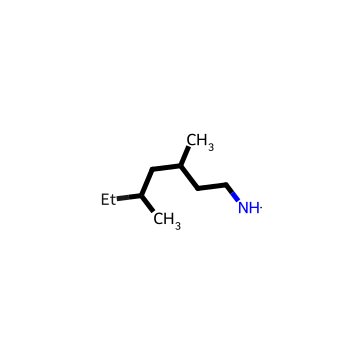 CCC(C)CC(C)CC[NH]